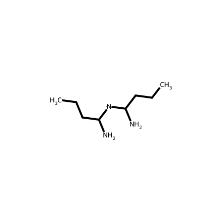 CCCC(N)[N]C(N)CCC